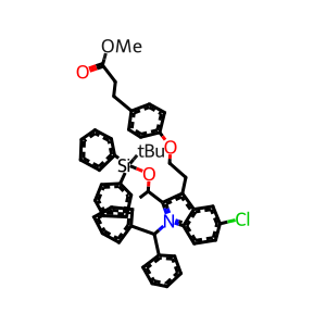 COC(=O)CCc1ccc(OCCc2c(C(C)O[Si](c3ccccc3)(c3ccccc3)C(C)(C)C)n(C(c3ccccc3)c3ccccc3)c3ccc(Cl)cc23)cc1